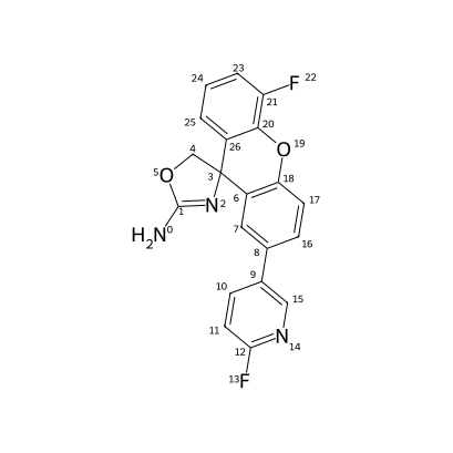 NC1=NC2(CO1)c1cc(-c3ccc(F)nc3)ccc1Oc1c(F)cccc12